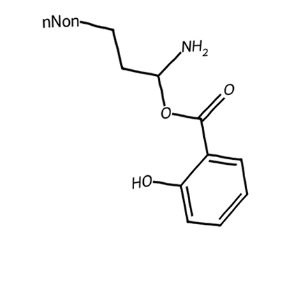 CCCCCCCCCCCC(N)OC(=O)c1ccccc1O